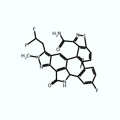 Cn1nc2c3c(c(-c4c(F)ccc5snc(C(N)=O)c45)cc2c1CC(F)F)C(c1cc(F)ccc1Cl)NC3=O